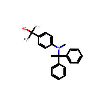 CN(c1ccc(C(O)(C(F)(F)F)C(F)(F)F)cc1)C(C)(c1ccccc1)c1ccccc1